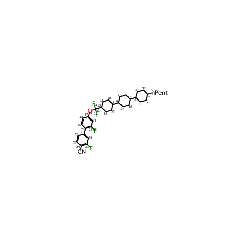 CCCCCC1CCC(C2CCC(C3CCC(C(F)(F)Oc4ccc(-c5ccc(C#N)c(F)c5)c(F)c4)CC3)CC2)CC1